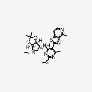 CC[C@H]1C[C@@H](Nc2nc(SC)nc(C)c2-c2nc3c(C)nccc3s2)[C@@H]2OC(C)(C)O[C@H]12